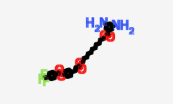 Nc1cc(N)cc(C(=O)OCCCCCCCCCCCOC(=O)C=Cc2ccc(OC(=O)c3ccc(C(F)(F)F)cc3)cc2)c1